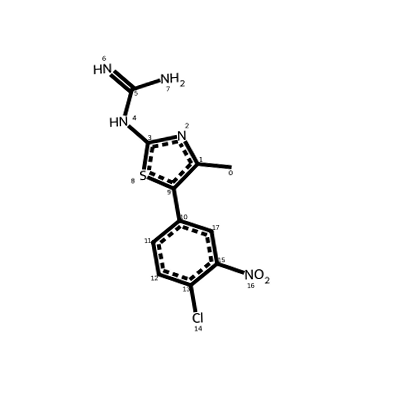 Cc1nc(NC(=N)N)sc1-c1ccc(Cl)c([N+](=O)[O-])c1